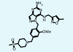 COc1cc(CN2CCC(S(C)(=O)=O)CC2)ccc1Cn1ncc2nc(N)nc(NCc3cc(C)on3)c21